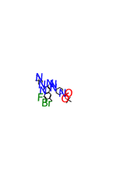 Cc1cc2c(nc(N3CC(C)(N(C)C)C3)c3nnn(C4CCN(C(=O)OC(C)(C)C)CC4)c32)c(F)c1Br